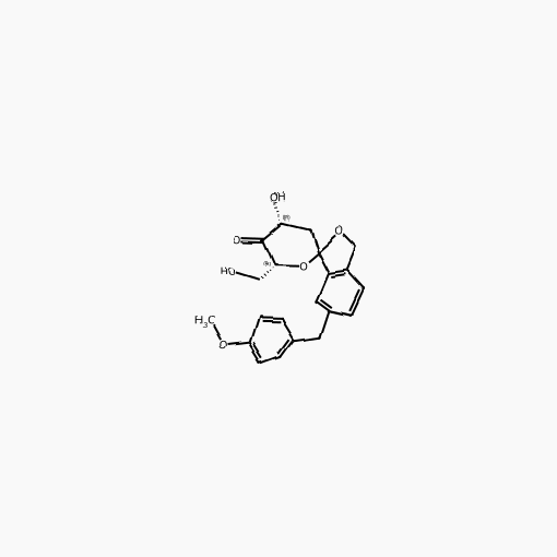 COc1ccc(Cc2ccc3c(c2)C2(C[C@@H](O)C(=O)[C@@H](CO)O2)OC3)cc1